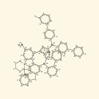 Cc1cccc(-c2ccc(N(c3ccc(-c4ccccc4)cc3)c3cc4c(S)c(c3)N(c3ccccc3-c3ccccc3)c3cc5c(cc3-c3c-4cc(N)cc3C3(C)CCCCC3(C)N)-c3ccccc3C5)cc2)c1